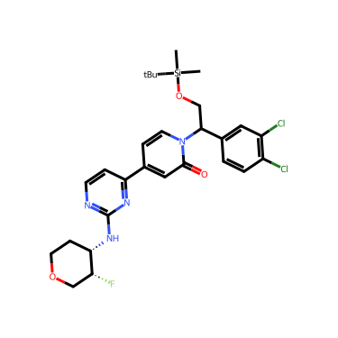 CC(C)(C)[Si](C)(C)OCC(c1ccc(Cl)c(Cl)c1)n1ccc(-c2ccnc(N[C@H]3CCOC[C@H]3F)n2)cc1=O